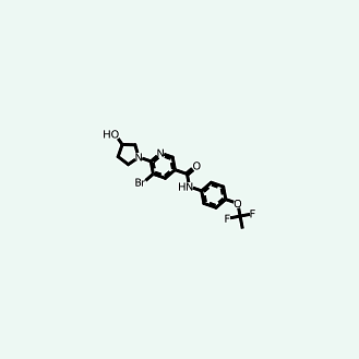 CC(F)(F)Oc1ccc(NC(=O)c2cnc(N3CCC(O)C3)c(Br)c2)cc1